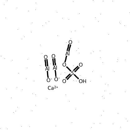 [Ca+2].[O]=[Al][O-].[O]=[Al][O-].[O]=[Al][O]S(=O)(=O)O